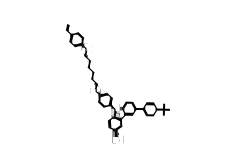 C=Cc1ccc(OCCCCCCOc2ccc(-n3c4ccc(Br)cc4c4cc(C5=CCC(C(C)(C)C)C=C5)ccc43)cc2)cc1